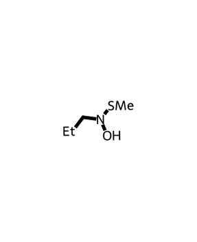 CCCN(O)SC